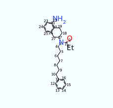 CCC(=O)N(CCCCCCCc1ccccc1)C1CCc2c(N)cccc2C1